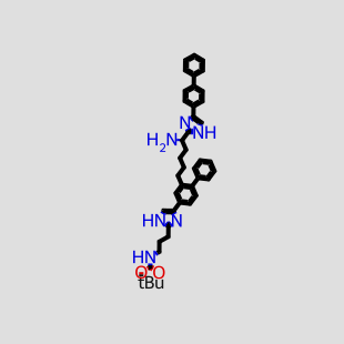 CC(C)(C)OC(=O)NCCCc1nc(-c2ccc(-c3ccccc3)c(CCCC[C@@H](N)c3nc(-c4ccc(-c5ccccc5)cc4)c[nH]3)c2)c[nH]1